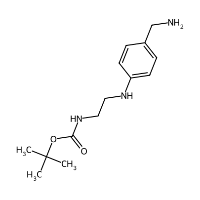 CC(C)(C)OC(=O)NCCNc1ccc(CN)cc1